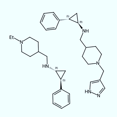 CCN1CCC(CN[C@@H]2C[C@H]2c2ccccc2)CC1.c1ccc([C@@H]2C[C@H]2NCC2CCN(Cc3cn[nH]c3)CC2)cc1